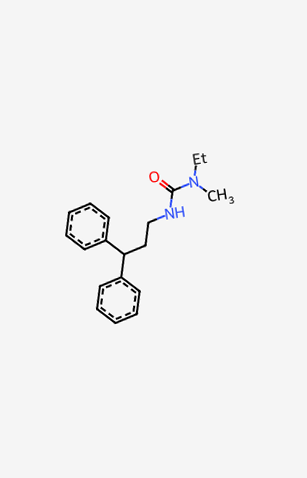 CCN(C)C(=O)NCCC(c1ccccc1)c1ccccc1